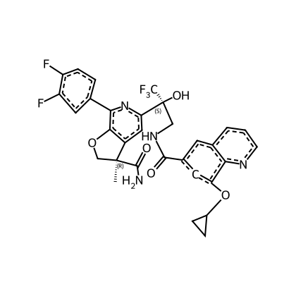 C[C@]1(C(N)=O)COc2c1cc([C@@](O)(CNC(=O)c1cc(OC3CC3)c3ncccc3c1)C(F)(F)F)nc2-c1ccc(F)c(F)c1